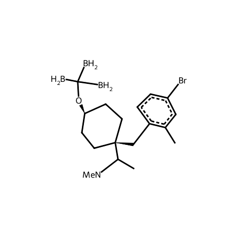 BC(B)(B)O[C@H]1CC[C@](Cc2ccc(Br)cc2C)(C(C)NC)CC1